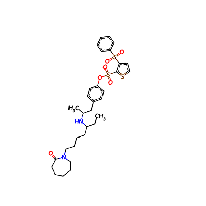 CCC(CCCCN1CCCCCC1=O)NC(C)Cc1ccc(OS(=O)(=O)c2sccc2S(=O)(=O)c2ccccc2)cc1